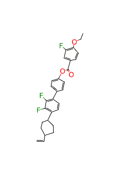 C=CC1CCC(c2ccc(-c3ccc(OC(=O)c4ccc(OCC)c(F)c4)cc3)c(F)c2F)CC1